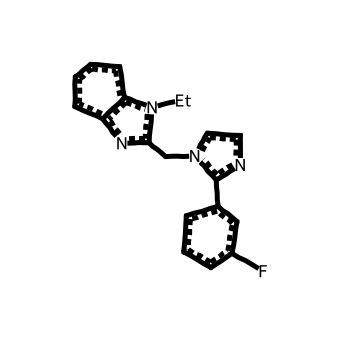 CCn1c(Cn2ccnc2-c2cccc(F)c2)nc2ccccc21